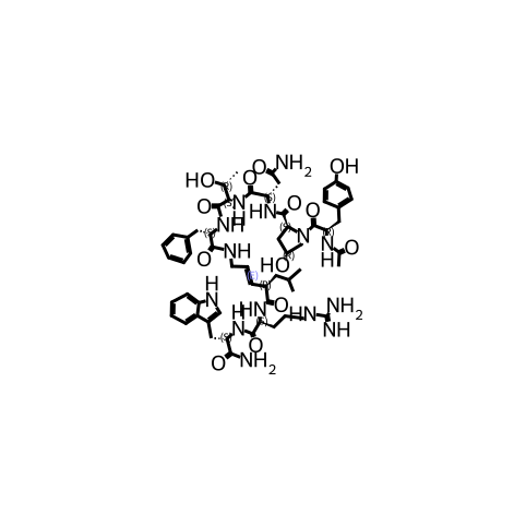 CC(=O)N[C@H](Cc1ccc(O)cc1)C(=O)N1C[C@H](O)C[C@H]1C(=O)N[C@@H](CC(N)=O)C(=O)N[C@H](C(=O)N[C@@H](Cc1ccccc1)C(=O)NC/C=C/[C@@H](CC(C)C)C(=O)N[C@@H](CCCNC(=N)N)C(=O)N[C@@H](Cc1c[nH]c2ccccc12)C(N)=O)[C@@H](C)O